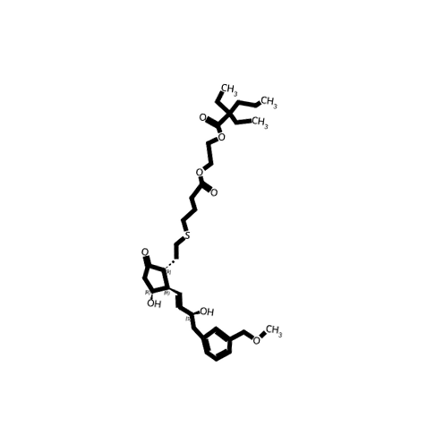 CCCC(CC)(CC)C(=O)OCCOC(=O)CCCSCC[C@H]1C(=O)C[C@@H](O)[C@@H]1C=C[C@@H](O)Cc1cccc(COC)c1